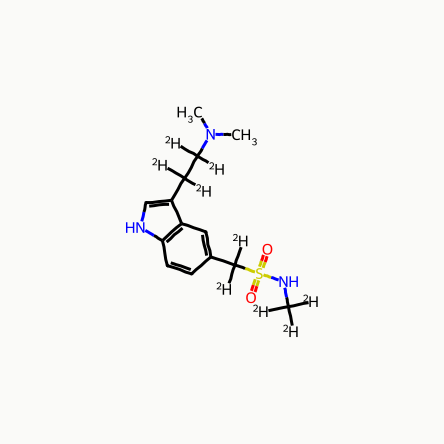 [2H]C([2H])([2H])NS(=O)(=O)C([2H])([2H])c1ccc2[nH]cc(C([2H])([2H])C([2H])([2H])N(C)C)c2c1